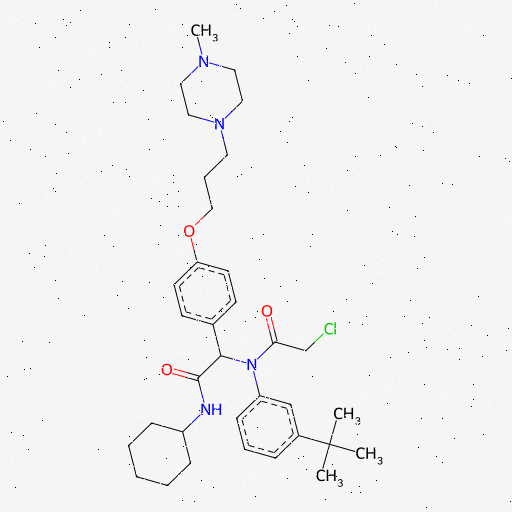 CN1CCN(CCCOc2ccc(C(C(=O)NC3CCCCC3)N(C(=O)CCl)c3cccc(C(C)(C)C)c3)cc2)CC1